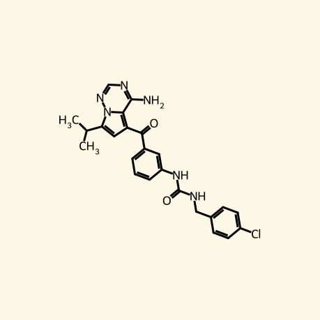 CC(C)c1cc(C(=O)c2cccc(NC(=O)NCc3ccc(Cl)cc3)c2)c2c(N)ncnn12